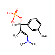 CC[C@](OP(=O)(O)O)(C(C)=CN(C)C)c1cccc(OC)c1